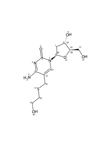 Nc1nc(=O)n([C@H]2C[C@H](O)[C@@H](CO)O2)cc1CSCCO